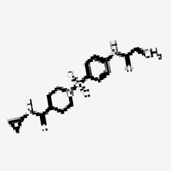 C=CC(=O)Nc1ccc(S(=O)(=O)N2CCC(C(=O)NC3CC3)CC2)cc1